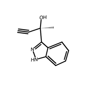 C#C[C@@](C)(O)c1n[nH]c2ccccc12